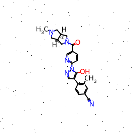 Cc1cc(C#N)ccc1-c1cnn(-c2ccc(C(=O)N3C[C@H]4CN(C)C[C@H]4C3)cn2)c1O